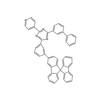 c1ccc(-c2cccc(-c3nc(-c4ccncc4)nc(-c4cccc(-c5ccc6c(c5)-c5ccccc5C65c6ccccc6-c6ccccc65)c4)n3)c2)cc1